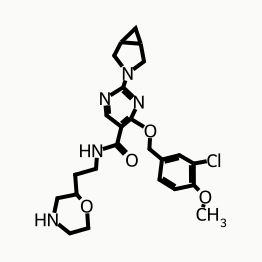 COc1ccc(COc2nc(N3CC4CC4C3)ncc2C(=O)NCCC2CNCCO2)cc1Cl